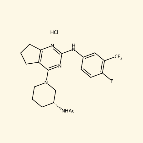 CC(=O)N[C@@H]1CCCN(c2nc(Nc3ccc(F)c(C(F)(F)F)c3)nc3c2CCC3)C1.Cl